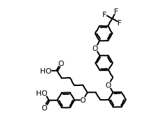 O=C(O)CCCCC(CCc1ccccc1OCc1ccc(Oc2ccc(C(F)(F)F)cc2)cc1)Oc1ccc(C(=O)O)cc1